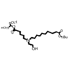 CCCCCCCCC(CCCCCCCC)OC(=O)CCCCN(CCO)CCCCCCCCCC(=O)OCCCC